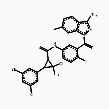 C=C(Nc1ccc(Cl)c(C(=C)n2nc(N)c3ccc(C)cc32)c1)C1C(c2cc(Cl)cc(Cl)c2)C1(O)Cl